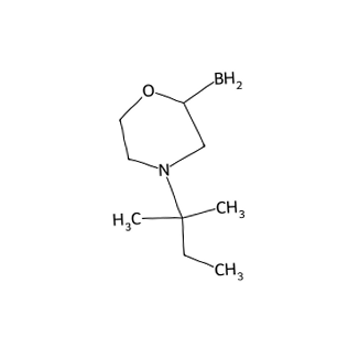 BC1CN(C(C)(C)CC)CCO1